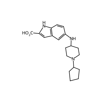 O=C(O)c1cc2cc(NC3CCN(C4CCCC4)CC3)ccc2[nH]1